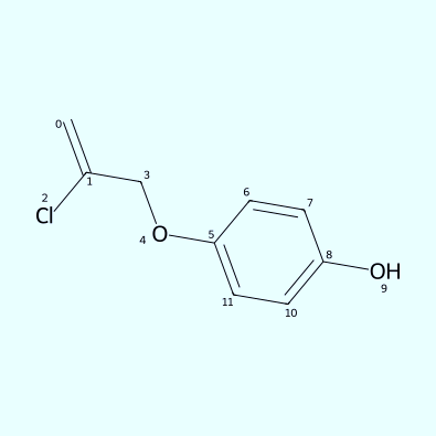 C=C(Cl)COc1ccc(O)cc1